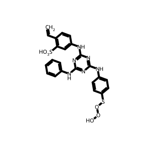 C=Cc1ccc(Nc2nc(Nc3ccccc3)nc(Nc3ccc(SOOO)cc3)n2)cc1S(=O)(=O)O